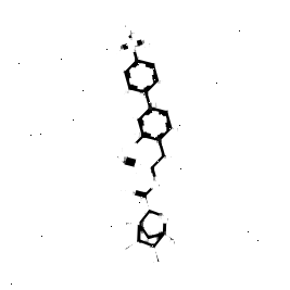 C[C@@H]1[C@H](C)[C@@H]2C[C@@H]1[C@@H](C(=O)N[C@H](C#N)Cc1ccc(-c3ccc(S(N)(=O)=O)cc3)cc1F)N2